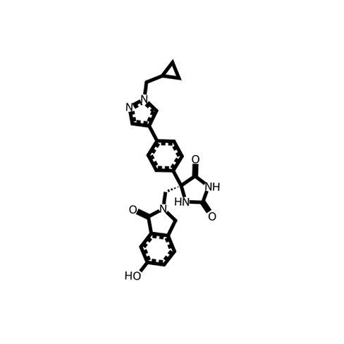 O=C1NC(=O)[C@](CN2Cc3ccc(O)cc3C2=O)(c2ccc(-c3cnn(CC4CC4)c3)cc2)N1